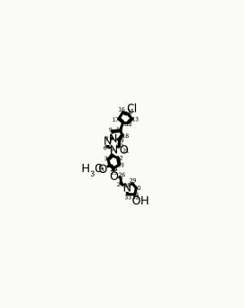 COc1cc(-n2cnn3cc(-c4ccc(Cl)cc4)cc3c2=O)ccc1OCCN1CCC(O)C1